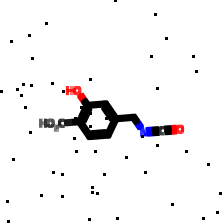 O=C=NCc1ccc(C(=O)O)c(O)c1